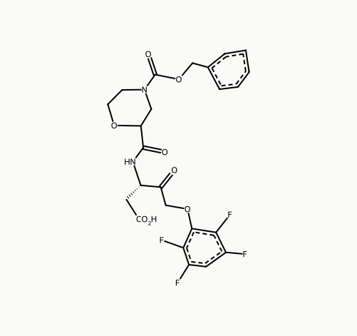 O=C(O)C[C@H](NC(=O)C1CN(C(=O)OCc2ccccc2)CCO1)C(=O)COc1c(F)c(F)cc(F)c1F